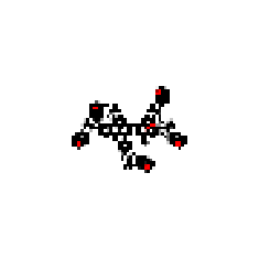 CCC(CC(CC(CC(CC(C)c1ccc(OC(OC23CC4CC(CC(C4)C2)C3)C(C)C)cc1)c1ccc(OC(OC23CC4CC(CC(C4)C2)C3)C(C)C)cc1)c1ccc(OC(OC23CC4CC(CC(C4)C2)C3)C(C)C)cc1)c1ccc(OC(OC23CC4CC(CC(C4)C2)C3)C(C)C)cc1)c1ccc(OC(OC23CC4CC(CC(C4)C2)C3)C(C)C)cc1